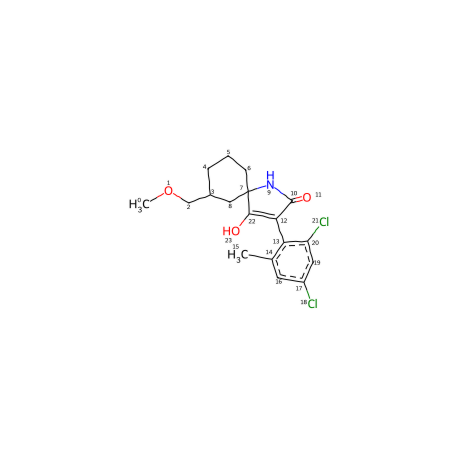 COCC1CCCC2(C1)NC(=O)C(c1c(C)cc(Cl)cc1Cl)=C2O